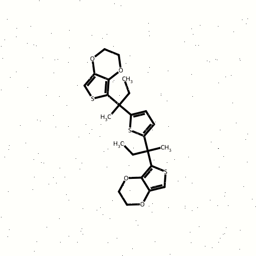 CCC(C)(c1ccc(C(C)(CC)c2scc3c2OCCO3)s1)c1scc2c1OCCO2